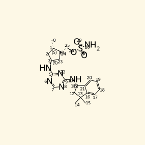 C[C@H]1C[C@H](Nc2ncnc(N[C@H]3CC(C)(C)c4ccccc43)n2)C[C@H]1COS(N)(=O)=O